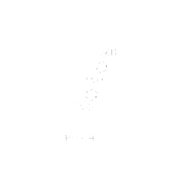 COc1ccc(OC(=O)c2ccc(OC(=O)C3CCC(C(O)O)CC3)cc2)cc1